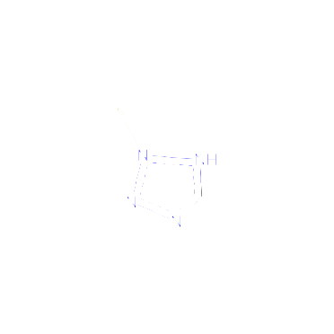 [S-][n+]1nnc[nH]1